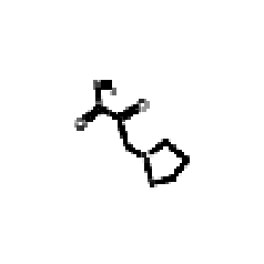 NC(=O)C(=O)CN1CCCC1